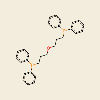 c1ccc(P(CCCOCCCP(c2ccccc2)c2ccccc2)c2ccccc2)cc1